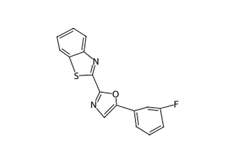 Fc1cccc(-c2cnc(-c3nc4ccccc4s3)o2)c1